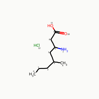 CCCC(C)CC(N)CC(=O)O.Cl